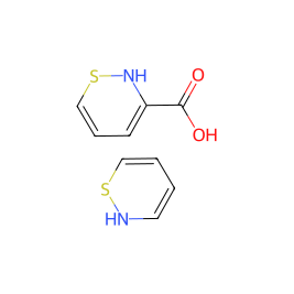 C1=CNSC=C1.O=C(O)C1=CC=CSN1